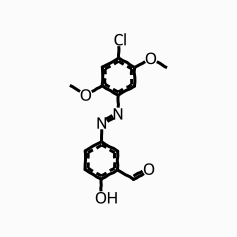 COc1cc(N=Nc2ccc(O)c(C=O)c2)c(OC)cc1Cl